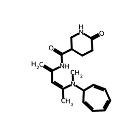 C=C(/C=C(/C)N(C)C1C=CC=CC=C1)NC(=O)C1CCC(=O)NC1